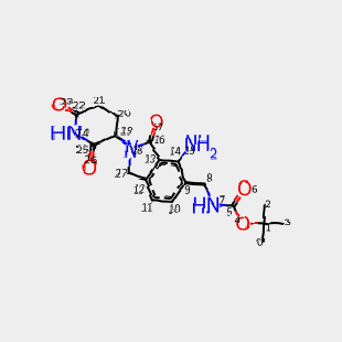 CC(C)(C)OC(=O)NCc1ccc2c(c1N)C(=O)N(C1CCC(=O)NC1=O)C2